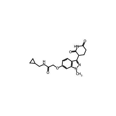 Cn1nc(C2CCC(=O)NC2=O)c2ccc(OCC(=O)NCC3CC3)cc21